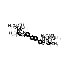 COC(=O)N[C@H](C(=O)N1[C@@H]2[C@H](C)[C@@H]2C[C@H]1c1nc2ccc(-c3ccc4cc(-c5ccc6nc([C@@H]7C[C@H]8[C@@H](C)[C@H]8N7C(=O)[C@@H](NC(=O)OC)C(C)C)[nH]c6c5)ccc4c3)cc2[nH]1)C(C)C